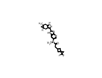 CN(C(=O)CC1CC2(C1)CC2(F)F)c1cnc2nc(-c3n[nH]c4c3C[C@@H]3C[C@]3(C)C4)[nH]c2c1